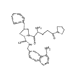 Nc1cncc2ccc(CNC(=O)C3CC(c4ccccc4)CN3C(=O)C(N)CCC(=O)N3CCCC3)cc12